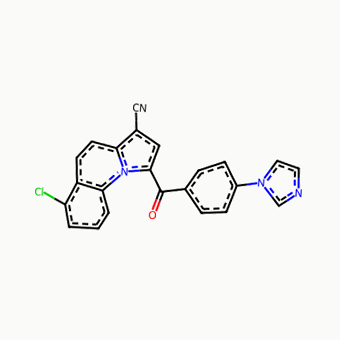 N#Cc1cc(C(=O)c2ccc(-n3ccnc3)cc2)n2c1ccc1c(Cl)cccc12